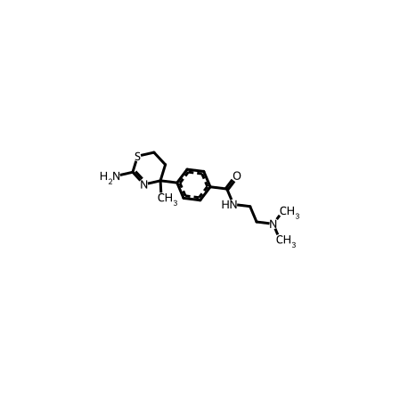 CN(C)CCNC(=O)c1ccc(C2(C)CCSC(N)=N2)cc1